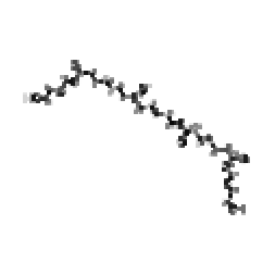 O=C(CCSCCC[S+]([O-])CCSCCSC(=O)CCSCCC(=O)OCSCCO)OCSCCO